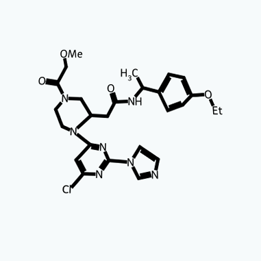 CCOc1ccc(C(C)NC(=O)CC2CN(C(=O)COC)CCN2c2cc(Cl)nc(-n3ccnc3)n2)cc1